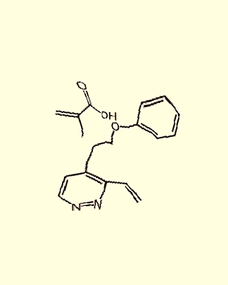 C=C(C)C(=O)O.C=Cc1nnccc1CCOc1ccccc1